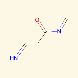 C=NC(=O)CC=N